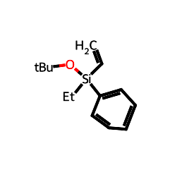 C=C[Si](CC)(OC(C)(C)C)c1ccccc1